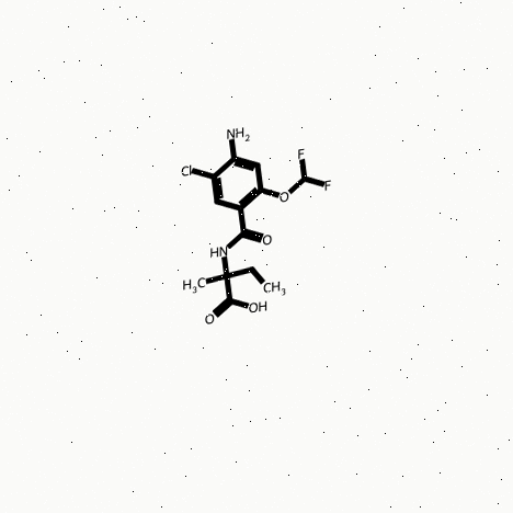 CCC(C)(NC(=O)c1cc(Cl)c(N)cc1OC(F)F)C(=O)O